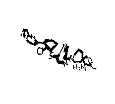 C[C@@H]1OCC2(CCN(c3cnc(Sc4cccc(-c5ccn6nccc6n5)c4Cl)cn3)CC2)[C@@H]1N